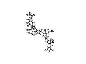 CCCCC(CC)CC1(CC(C)CC)c2cc3cc4c(cc3cc2-c2sc(-c3ccc(/C=C5\SC(=S)N(CC)C5=O)c5nsnc35)cc21)C(CC(CC)CCCC)(CC(CC)CCCC)c1cc(-c2ccc(/C=C3\SC(=S)N(CC)C3=O)c3nsnc23)sc1-4